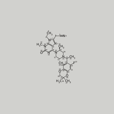 CCn1c(CC#N)nc2c(N3C[C@@H](C)N(C(C)c4cc5c(cc4F)OC(C)(C)CO5)C[C@@H]3C)nc(=O)n(C)c21